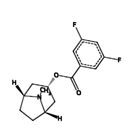 CN1[C@@H]2CC[C@H]1C[C@@H](OC(=O)c1cc(F)cc(F)c1)C2